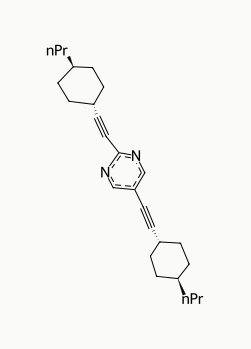 CCC[C@H]1CC[C@H](C#Cc2cnc(C#C[C@H]3CC[C@H](CCC)CC3)nc2)CC1